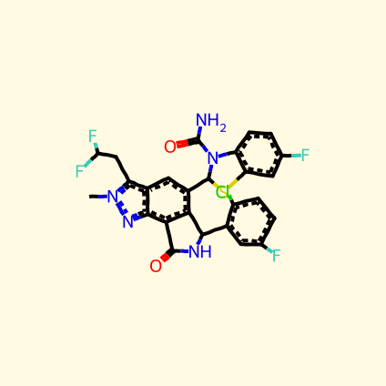 Cn1nc2c3c(c(C4Sc5cc(F)ccc5N4C(N)=O)cc2c1CC(F)F)C(c1cc(F)ccc1Cl)NC3=O